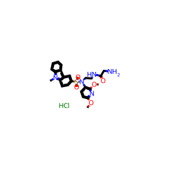 COc1ccc(N(CCNC(=O)CN)S(=O)(=O)c2ccc3c(c2)c2ccccc2n3C)c(OC)n1.Cl